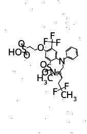 CN1[C@H](CCC(C)(F)F)CN(c2ccccc2)c2cc(C(F)(F)F)c(OCCS(=O)(=O)O)cc2S1(=O)=O